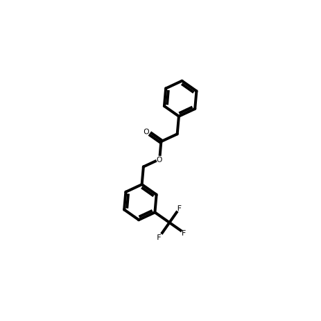 O=C(Cc1ccccc1)OCc1cccc(C(F)(F)F)c1